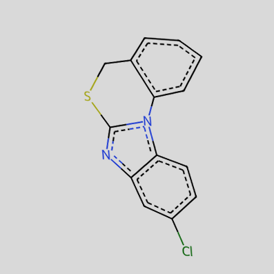 Clc1ccc2c(c1)nc1n2-c2ccccc2CS1